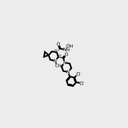 CN1CC2(CC2)C[C@H](C(=O)NO)[C@H]1C(=O)N1CCN(c2cccc(Cl)c2Cl)CC1